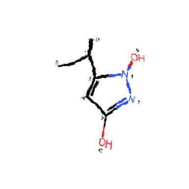 CC(C)c1cc(O)nn1O